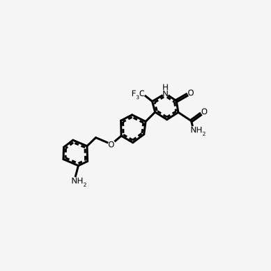 NC(=O)c1cc(-c2ccc(OCc3cccc(N)c3)cc2)c(C(F)(F)F)[nH]c1=O